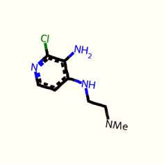 CNCCNc1ccnc(Cl)c1N